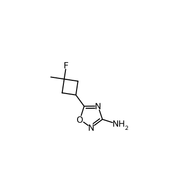 CC1(F)CC(c2nc(N)no2)C1